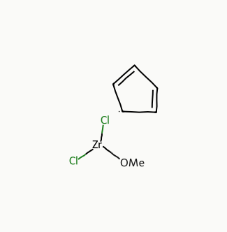 C[O][Zr]([Cl])[Cl].[CH]1C=CC=C1